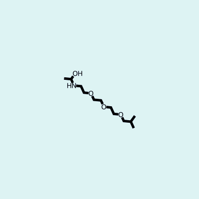 CC(C)COCCOCCOCCNC(C)O